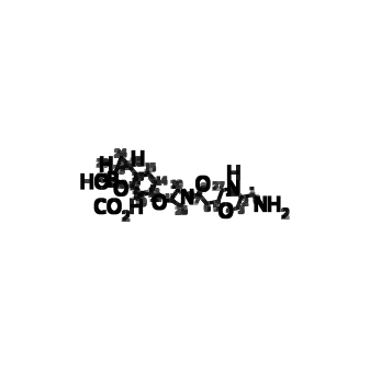 NCC1COC(CC(=O)N2CC(Oc3ccc4c(c3C(=O)O)OB(O)[C@H]3C[C@@H]43)C2)CN1